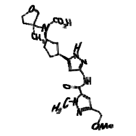 COCc1cc(C(=O)Nc2cc([C@H]3CC[C@@H](N(C(=O)O)C4(C)CCOC4)C3)[nH]n2)n(C)n1